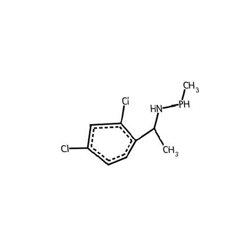 CPNC(C)c1ccc(Cl)cc1Cl